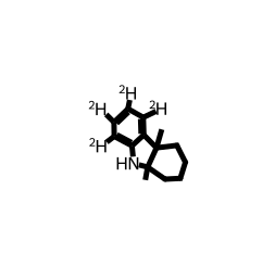 [2H]c1c([2H])c([2H])c2c(c1[2H])NC1(C)CCCCC21C